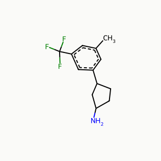 Cc1cc(C2CCC(N)C2)cc(C(F)(F)F)c1